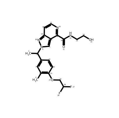 Cc1cc(C(C)n2cc3c(C(=O)NCCO)nccc3n2)ccc1OCC(F)F